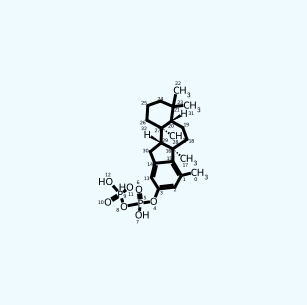 Cc1cc(OP(=O)(O)OP(=O)(O)O)cc2c1[C@]1(C)CC[C@H]3C(C)(C)CCC[C@]3(C)[C@H]1C2